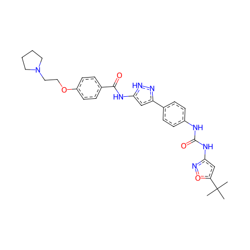 CC(C)(C)c1cc(NC(=O)Nc2ccc(-c3cc(NC(=O)c4ccc(OCCN5CCCC5)cc4)[nH]n3)cc2)no1